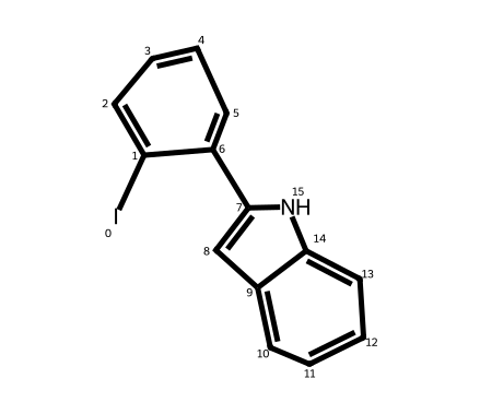 Ic1ccccc1-c1cc2ccccc2[nH]1